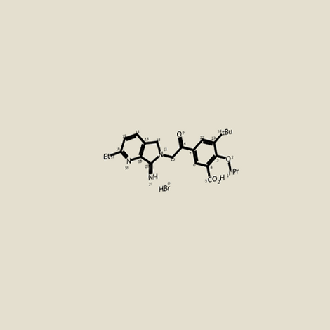 Br.CCCOc1c(C(=O)O)cc(C(=O)CN2Cc3ccc(CC)nc3C2=N)cc1C(C)(C)C